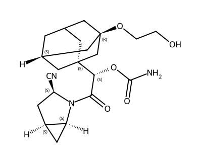 N#C[C@@H]1C[C@@H]2C[C@@H]2N1C(=O)[C@@H](OC(N)=O)[C@]12CC3C[C@H](C[C@](OCCO)(C3)C1)C2